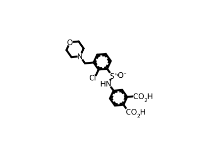 O=C(O)c1ccc(N[S+]([O-])c2cccc(CN3CCOCC3)c2Cl)cc1C(=O)O